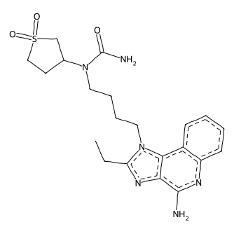 CCc1nc2c(N)nc3ccccc3c2n1CCCCN(C(N)=O)C1CCS(=O)(=O)C1